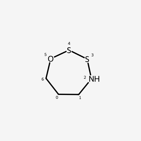 C1CNSSOC1